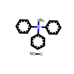 CCCC[N+](c1ccccc1)(c1ccccc1)c1ccccc1.N#C[S-]